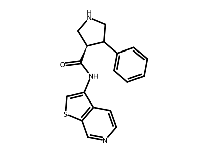 O=C(Nc1csc2cnccc12)[C@H]1CNCC1c1ccccc1